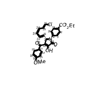 CCOC(=O)c1ccc(N2C(=O)C(O)=C(C(=O)c3ccc(OC)cc3)[C@@H]2/C=C/C=C\C=C\Cl)cc1